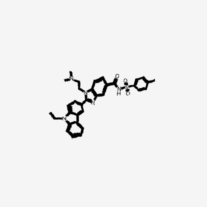 CCn1c2ccccc2c2cc(-c3nc4cc(C(=O)NS(=O)(=O)c5ccc(C)cc5)ccc4n3CCN(C)C)ccc21